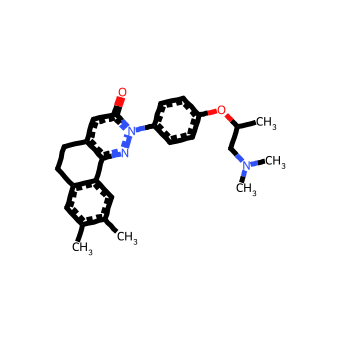 Cc1cc2c(cc1C)-c1nn(-c3ccc(OC(C)CN(C)C)cc3)c(=O)cc1CC2